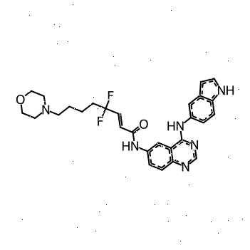 O=C(C=CC(F)(F)CCCCN1CCOCC1)Nc1ccc2ncnc(Nc3ccc4[nH]ccc4c3)c2c1